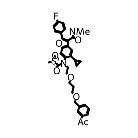 CNC(=O)c1c(-c2ccc(F)cc2)oc2cc(N(CCOCCCOCc3cccc(C(C)=O)c3)C(=O)[S+](C)[O-])c(C3CC3)cc12